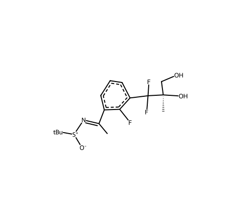 C/C(=N\[S+]([O-])C(C)(C)C)c1cccc(C(F)(F)[C@](C)(O)CO)c1F